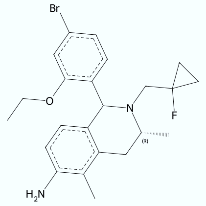 CCOc1cc(Br)ccc1C1c2ccc(N)c(C)c2C[C@@H](C)N1CC1(F)CC1